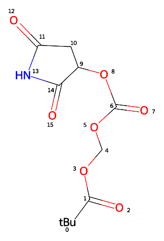 CC(C)(C)C(=O)OCOC(=O)OC1CC(=O)NC1=O